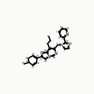 CCCc1c(Cn2ccnc2-c2ccccn2)ncn2cc(C3=CCC(C)C=C3)nc12